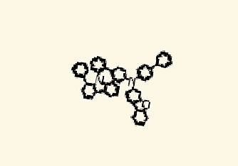 c1ccc(-c2ccc(N(c3ccc(-c4ccccc4-n4c5ccccc5c5cccc(-c6ccccc6)c54)cc3)c3ccc4c(c3)oc3ccccc34)cc2)cc1